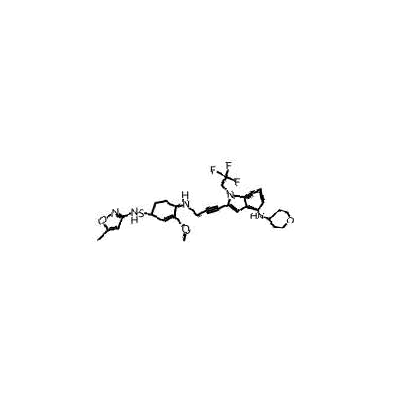 COC1=CC(SNc2cc(C)on2)CCC1NCC#Cc1cc2c(NC3CCOCC3)cccc2n1CC(F)(F)F